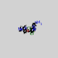 Cc1cc(-n2ccnc2C)c2cccc(OCc3c(Cl)cnc(N4CC[C@@H](N)C4)c3Cl)c2n1